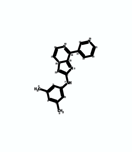 Cc1cc(C)cc(Nc2nc3c(-c4cccnc4)nccn3n2)c1